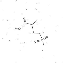 COC(=O)C(C)CCS(C)(=O)=O